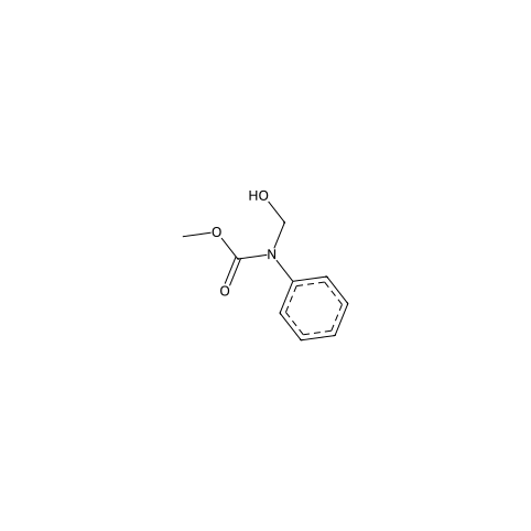 COC(=O)N(CO)c1ccccc1